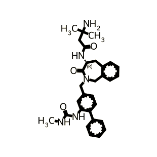 CNC(=O)Nc1cc(CN2Cc3ccccc3C[C@@H](NC(=O)CC(C)(C)N)C2=O)ccc1-c1ccccc1